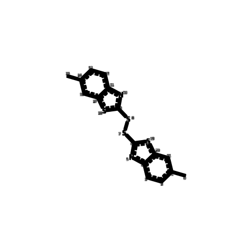 Cc1ccc2nc(SSc3nc4ccc(C)cc4s3)sc2c1